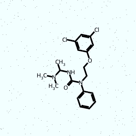 CC(NC(=O)N(CCOc1cc(Cl)cc(Cl)c1)c1ccccc1)N(C)C